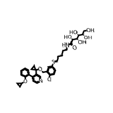 O=C(NCCCCCSc1ccc(Cl)c(COC2(c3cnccc3-c3ccccc3OC3CC3)CC2)c1)[C@@H](O)[C@@H](O)[C@H](O)[C@@H](O)CO